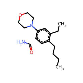 CCCCc1ccc(N2CCOCC2)cc1CC.NC=O